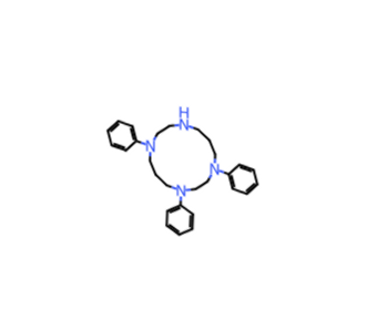 c1ccc(N2CCCN(c3ccccc3)CCN(c3ccccc3)CCCNCC2)cc1